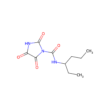 CCCC(CC)NC(=O)N1C(=O)NC(=O)C1=O